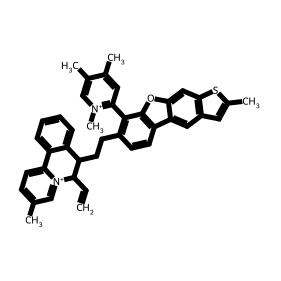 C=CC1C(CCc2ccc3c(oc4cc5sc(C)cc5cc43)c2-c2cc(C)c(C)c[n+]2C)c2ccccc2-c2ccc(C)c[n+]21